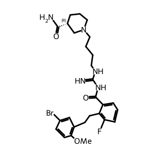 COc1ccc(Br)cc1CCc1c(F)cccc1C(=O)NC(=N)NCCCCN1CCC[C@@H](C(N)=O)C1